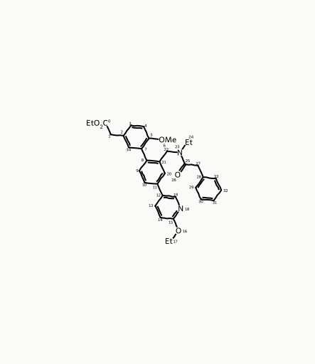 CCOC(=O)Cc1ccc(OC)c(-c2ccc(-c3ccc(OCC)nc3)cc2CN(CC)C(=O)Cc2ccccc2)c1